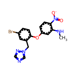 CNc1cc(Oc2ccc(Br)cc2Cn2cncn2)ccc1[N+](=O)[O-]